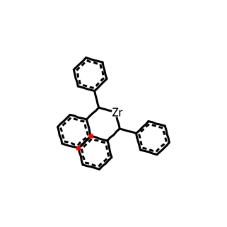 c1ccc([CH]([Zr][CH](c2ccccc2)c2ccccc2)c2ccccc2)cc1